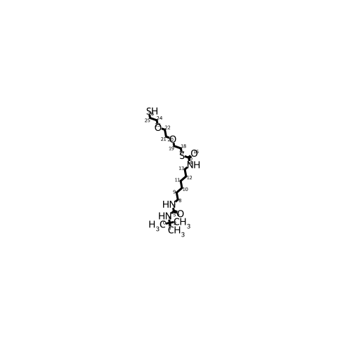 CC(C)(C)NC(=O)NCCCCCCNC(=O)SCCOCCOCCS